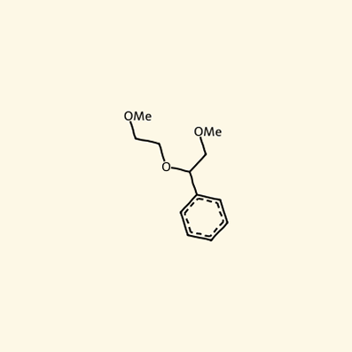 COCCOC(COC)c1ccccc1